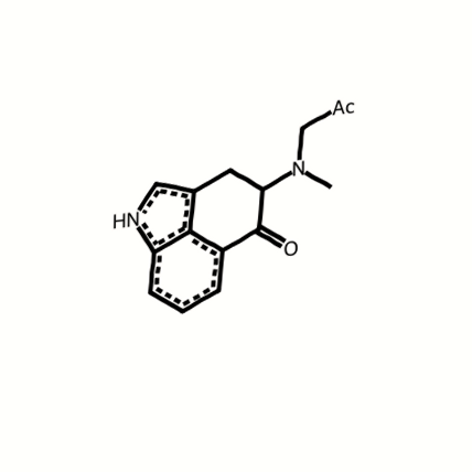 CC(=O)CN(C)C1Cc2c[nH]c3cccc(c23)C1=O